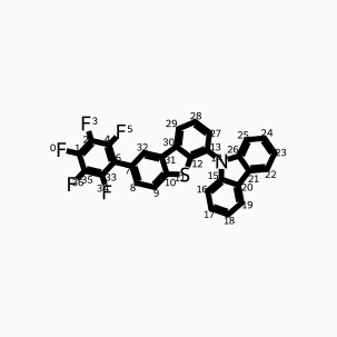 Fc1c(F)c(F)c(-c2ccc3sc4c(-n5c6ccccc6c6ccccc65)cccc4c3c2)c(F)c1F